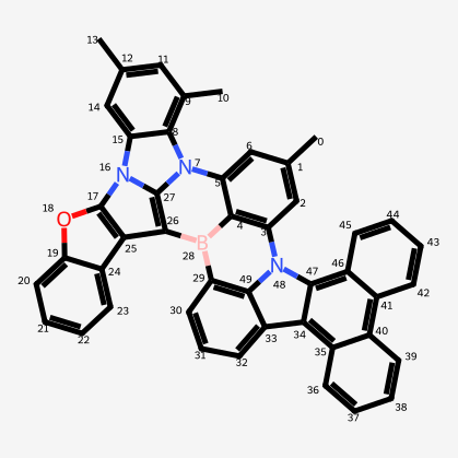 Cc1cc2c3c(c1)-n1c4c(C)cc(C)cc4n4c5oc6ccccc6c5c(c14)B3c1cccc3c4c5ccccc5c5ccccc5c4n-2c13